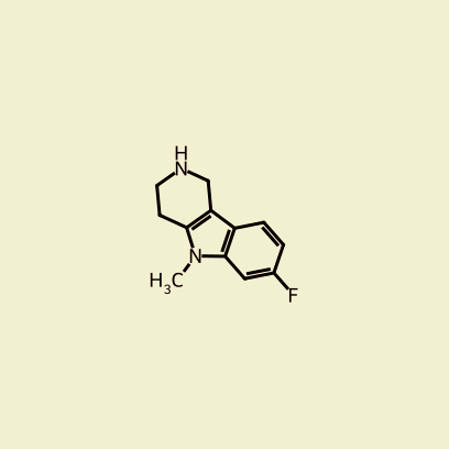 Cn1c2c(c3ccc(F)cc31)CNCC2